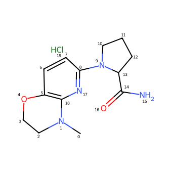 CN1CCOc2ccc(N3CCCC3C(N)=O)nc21.Cl